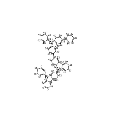 C1=CC(n2c3ccccc3c3ccc(-n4c5ccccc5c5cc(-c6ccc7c(c6)c6cc(-c8ccccc8)ccc6n7-c6ccccc6)ccc54)cc32)=CCC1